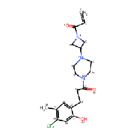 C=CC(=O)N1CC(N2CCN(C(=O)CCc3cc(C)c(Cl)cc3O)CC2)C1